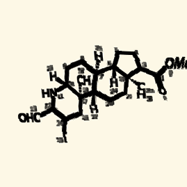 COC(=O)C1CC[C@H]2[C@@H]3CC[C@H]4NC(C=O)C(I)C[C@]4(C)[C@H]3CC[C@]12C